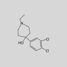 CCN1CCC(O)(c2ccc(Cl)c(Cl)c2)CC1